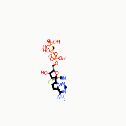 N#C[C@@]1(c2ccc3c(N)ncnn23)O[C@H](COP(=O)(O)OP(=O)(O)CP(=O)(O)O)[C@@H](O)[C@H]1F